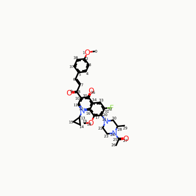 COc1ccc(C=CC(=O)c2cn(C3CC3)c3c(OC)c(N4CCN(C(C)=O)C(C)C4)c(F)cc3c2=O)cc1